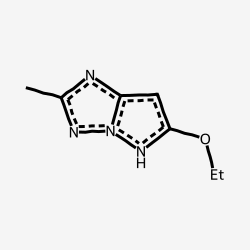 CCOc1cc2nc(C)nn2[nH]1